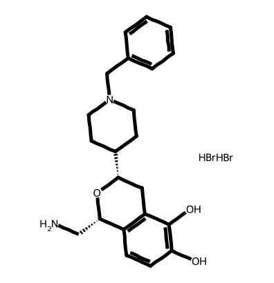 Br.Br.NC[C@@H]1O[C@H](C2CCN(Cc3ccccc3)CC2)Cc2c1ccc(O)c2O